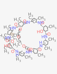 Cc1cc2c(O)c(c1)C(=O)Nc1cc(c(C)cc1C)NC(=O)c1cc(C)cc3c1OCCOCC(C)(CCC(=O)C(C)(C)Br)COCCOc1c(cc(C)cc1C(=O)Nc1cc(c(C)cc1C)NC(=O)c1cc(C)cc(c1O)C(=O)Nc1cc(c(C)cc1C)NC3=O)C(=O)Nc1cc(c(C)cc1C)NC2=O